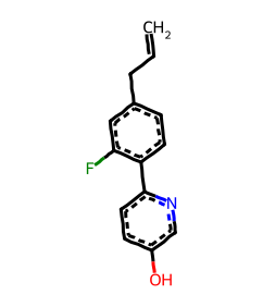 C=CCc1ccc(-c2ccc(O)cn2)c(F)c1